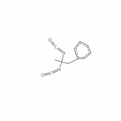 CC(Cc1ccccc1)(N=C=O)N=C=O